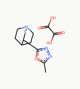 Cc1nnc(C2CN3CCC2CC3)o1.O=C(O)C(=O)O